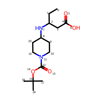 CCC(CC(=O)O)NC1CCN(C(=O)OC(C)(C)C)CC1